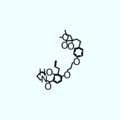 C=CCc1c(OCCCOc2ccc3c(c2)OC(CCC)(C(=O)OC)CC3)ccc(C(=O)N2CCCC2)c1O